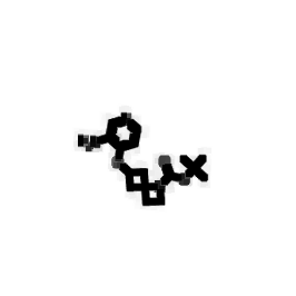 CC(C)(C)OC(=O)N1CCC12CC(Oc1ccncc1N)C2